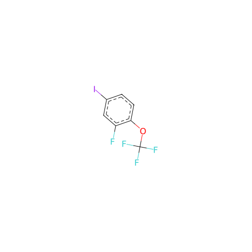 Fc1cc(I)ccc1OC(F)(F)F